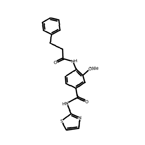 COc1cc(C(=O)Nc2nccs2)ccc1NC(=O)CCc1ccccc1